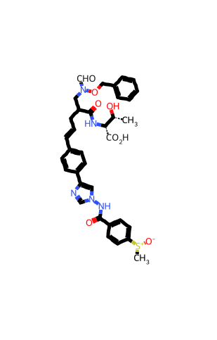 C[C@@H](O)[C@@H](NC(=O)C(CC=Cc1ccc(-c2cn(NC(=O)c3ccc([S+](C)[O-])cc3)cn2)cc1)CN(C=O)OCc1ccccc1)C(=O)O